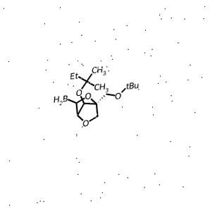 BC1O[C@@]2(COC(C)(C)C)COC1C2OC(C)(C)CC